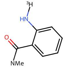 [3H]Nc1ccccc1C(=O)NC